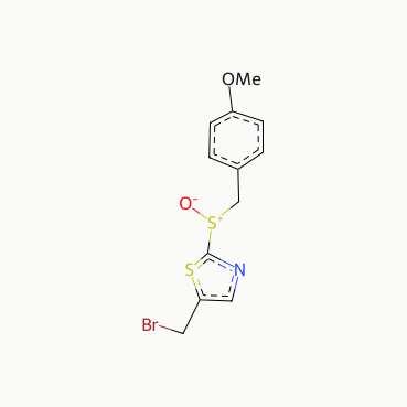 COc1ccc(C[S+]([O-])c2ncc(CBr)s2)cc1